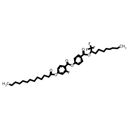 CCCCCCCCCCCCC(=O)Oc1ccc(C(=O)Oc2ccc(C(=O)OC(CCCCCCCC)C(F)(F)F)cc2)c(F)c1